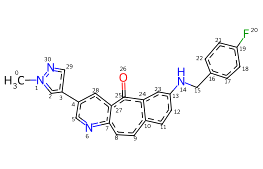 Cn1cc(-c2cnc3ccc4ccc(NCc5ccc(F)cc5)cc4c(=O)c3c2)cn1